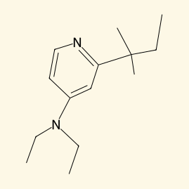 CCN(CC)c1ccnc(C(C)(C)CC)c1